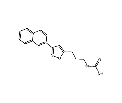 O=C(O)NCCCc1cc(-c2ccc3ccccc3c2)no1